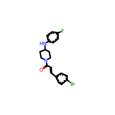 O=C(C=Cc1ccc(Br)cc1)N1CCC(Nc2ccc(F)cc2)CC1